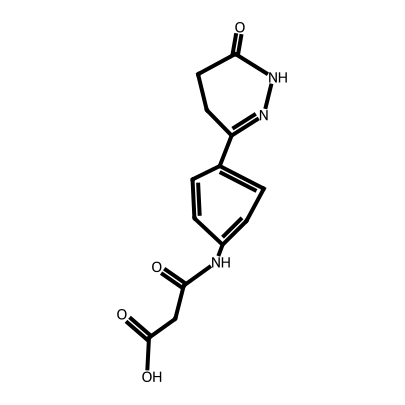 O=C(O)CC(=O)Nc1ccc(C2=NNC(=O)CC2)cc1